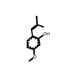 COc1ccc(C=C(C)C)c(O)c1